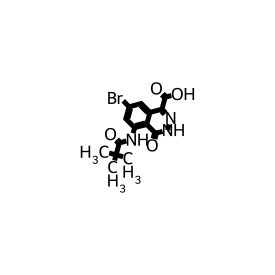 CC(C)(C)C(=O)Nc1cc(Br)cc2c(C(=O)O)n[nH]c(=O)c12